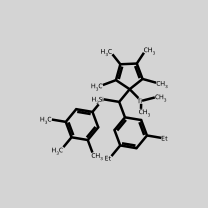 CCc1cc(CC)cc(C([SiH2]c2cc(C)c(C)c(C)c2)[C]2([Ti]([CH3])[CH3])C(C)=C(C)C(C)=C2C)c1